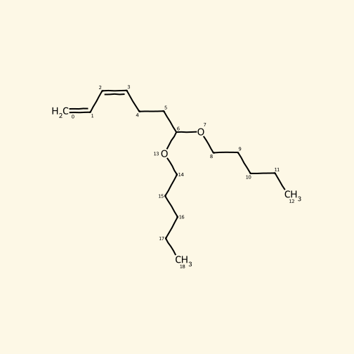 C=C/C=C\CCC(OCCCCC)OCCCCC